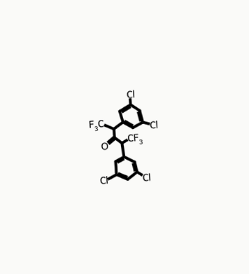 O=C(C(c1cc(Cl)cc(Cl)c1)C(F)(F)F)C(c1cc(Cl)cc(Cl)c1)C(F)(F)F